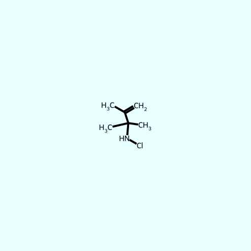 C=C(C)C(C)(C)NCl